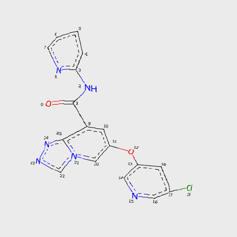 O=C(Nc1ccccn1)c1cc(Oc2cncc(Cl)c2)cn2cnnc12